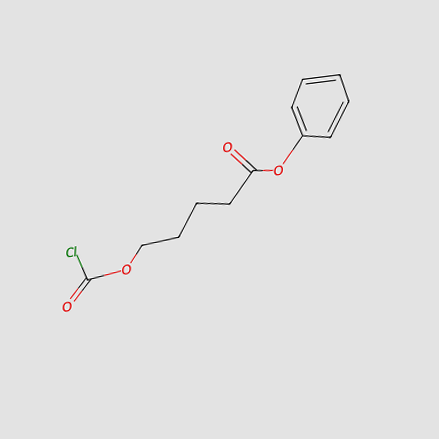 O=C(Cl)OCCCCC(=O)Oc1ccccc1